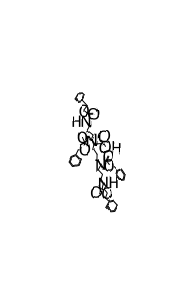 O=C(NCCCN(CCCC(C(=O)O)N(CCCNC(=O)OCc1ccccc1)C(=O)OCc1ccccc1)C(=O)OCc1ccccc1)OCc1ccccc1